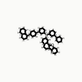 c1ccc(-c2cccc(N(c3cccc(-c4ccc(-c5cccc6ccccc56)cc4)c3)c3ccc4ccc5c6ncccc6oc5c4c3)c2)cc1